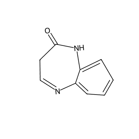 O=C1CC=Nc2ccccc2N1